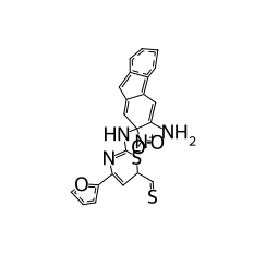 NC1=CC2=c3ccccc3=CC2=CC1(NC1=NC(c2ccco2)=CC(C=S)S1)[N+](=O)[O-]